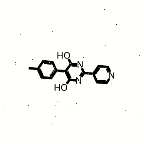 Cc1ccc(-c2c(O)nc(-c3ccncc3)nc2O)cc1